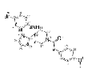 COc1ccc(CC(=O)N2CCC3(CC2)Nc2ccc(Br)cc2-n2cccc23)cc1